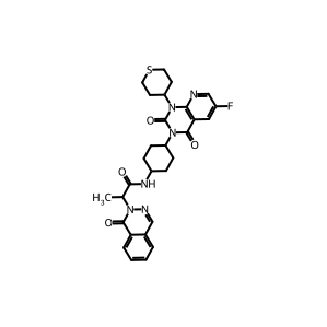 CC(C(=O)NC1CCC(n2c(=O)c3cc(F)cnc3n(C3CCSCC3)c2=O)CC1)n1ncc2ccccc2c1=O